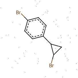 Brc1ccc(C2CC2Br)cc1